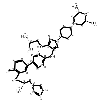 C[C@@H]1CN([C@H]2CC[C@H](n3cc(Nc4ncc(-c5ccc(Cl)c(O[C@@H](C)Cn6cnnn6)c5)cn4)c(OC[C@@H](C)O)n3)CC2)C[C@H](C)O1